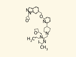 C=CCN(C[C@@H]1CCO1)/C(CN1CCC(c2cccc(OCc3ccc4cnn(C5COC5)c4c3)n2)CC1)=N\C(C)I